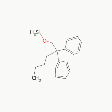 CCCCC(CO[SiH3])(c1ccccc1)c1ccccc1